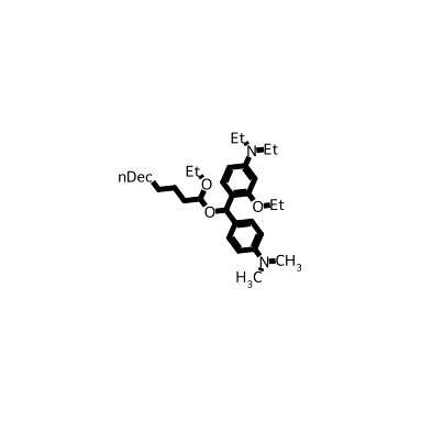 CCCCCCCCCCCCCC(OCC)OC(c1ccc(N(C)C)cc1)c1ccc(N(CC)CC)cc1OCC